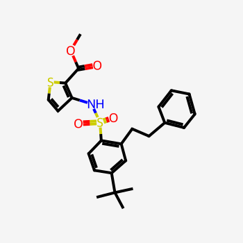 COC(=O)c1sccc1NS(=O)(=O)c1ccc(C(C)(C)C)cc1CCc1ccccc1